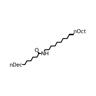 CCCCCCCC/C=C/CCCCCCCCNC(=O)CCCCCCCCCCCCCCC